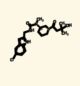 CN(C(=O)NCc1cc2cc(Cl)ccc2[nH]1)[C@@H]1CCCN(C(=O)CC(C)(C)O)C1